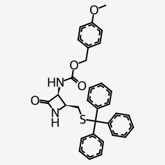 COc1ccc(COC(=O)N[C@@H]2C(=O)N[C@@H]2CSC(c2ccccc2)(c2ccccc2)c2ccccc2)cc1